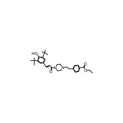 CCOC(=O)c1ccc(CCN2CCN(C(=O)/C=C/c3cc(C(C)(C)C)c(O)c(C(C)(C)C)c3)CC2)cc1